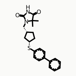 CC1(C)C(=O)NC(=O)N1C[C@@H]1CC[C@H](Sc2ccc(-c3ccccc3)cc2)C1